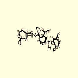 Cc1ccc(F)c(Nc2cc(C(C)C)c(C(=O)NCC3CCOC(=O)C3)cn2)c1